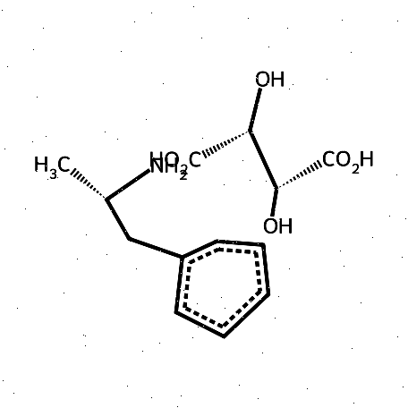 C[C@H](N)Cc1ccccc1.O=C(O)[C@H](O)[C@@H](O)C(=O)O